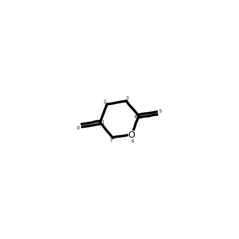 C=C1CCC(=C)OC1